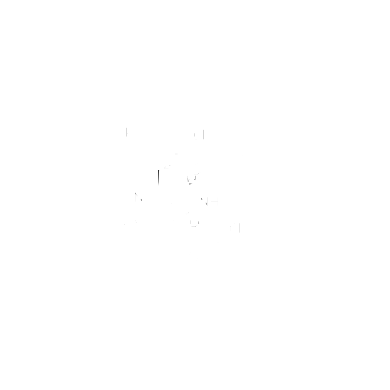 COc1ccc(Oc2ccc(I)cc2[C@@H]2NC(=O)C[C@@H](C3C=CC=C(Cl)C3)[C@]23C(=O)Nc2cc(Cl)ccc23)cc1